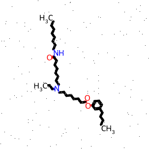 CCCCCCCCCNC(=O)CCCCCCCN(CCC)CCCCCCCC(=O)Oc1cccc(CCCCC)c1